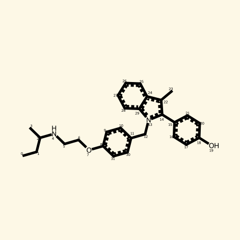 CCC(C)NCCOc1ccc(Cn2c(-c3ccc(O)cc3)c(C)c3ccccc32)cc1